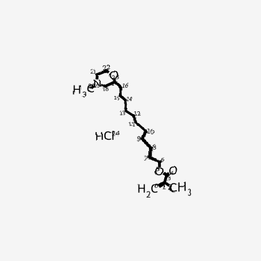 C=C(C)C(=O)OCCCCCCCCCCCC1CN(C)CCO1.Cl